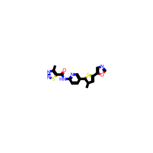 Cc1nnsc1C(=O)Nc1ccc(C2SC(c3cnco3)=CC2C)cn1